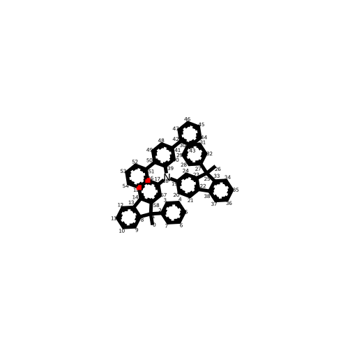 CC1(c2ccccc2)c2ccccc2-c2ccc(N(c3ccc4c(c3)C(C)(c3ccccc3)c3ccccc3-4)c3cc(-c4ccccc4)ccc3-c3ccccc3)cc21